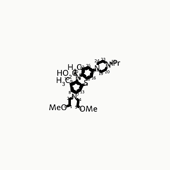 COCCN(CCOC)c1cc(C)c2c(c1)Sc1cc(N3CCN(C(C)C)CC3)cc(C)c1N2C(=O)O